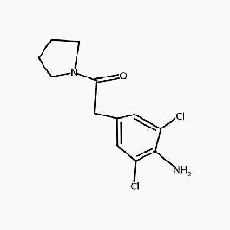 Nc1c(Cl)cc(CC(=O)N2CCCC2)cc1Cl